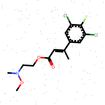 CON(C)CCOC(=O)/C=C(\C)c1cc(Cl)c(F)c(Cl)c1